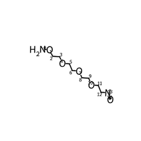 NOCCOCCOCCOCCN=O